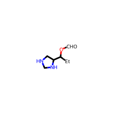 [CH2]CC(OC=O)C1CNCN1